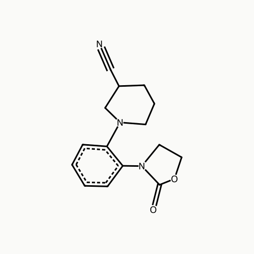 N#CC1CCCN(c2ccccc2N2CCOC2=O)C1